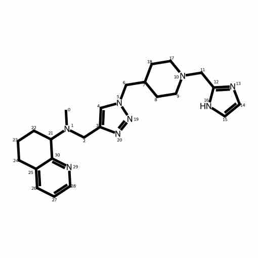 CN(Cc1cn(CC2CCN(Cc3ncc[nH]3)CC2)nn1)C1CCCc2cccnc21